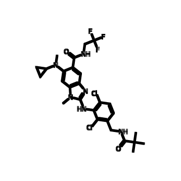 CN(c1cc2c(cc1C(=O)NCC(F)(F)F)nc(Nc1c(Cl)ccc(CNC(=O)C(C)(C)C)c1Cl)n2C)C1CC1